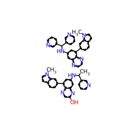 CC(Nc1cc(-c2ccc3ccn(C)c3c2)c2ncc(O)nc2c1)c1cccnc1.Cn1ccc2ccc(-c3cc(NC(c4cccnc4)c4cccnc4)cc4nccnc34)cc21